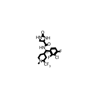 CN1CCC([C@H](NC(=O)C2CNC(=O)N2)c2ccc(F)c(Cl)c2F)CC1C(F)(F)F